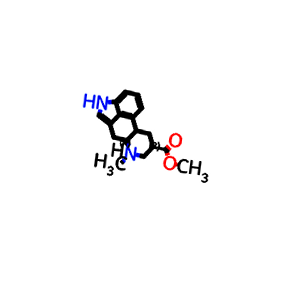 COC(=O)[C@@H]1CC2c3cccc4[nH]cc(c34)C[C@H]2N(C)C1